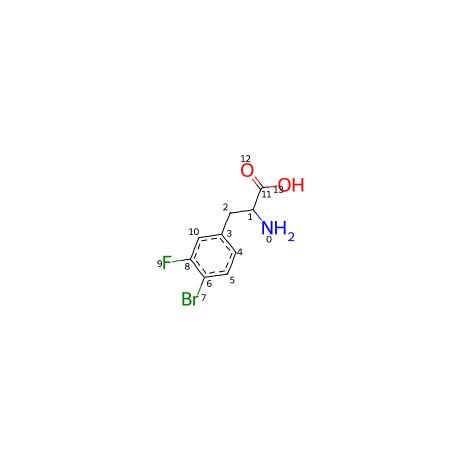 NC(Cc1ccc(Br)c(F)c1)C(=O)O